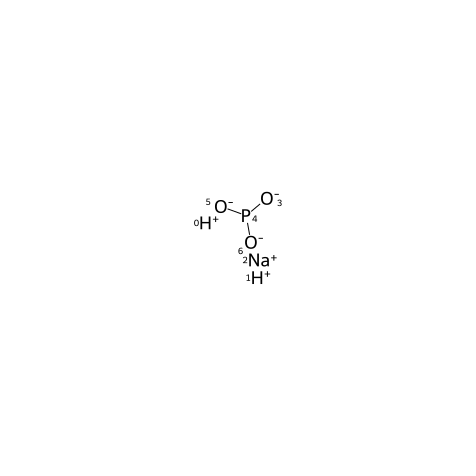 [H+].[H+].[Na+].[O-]P([O-])[O-]